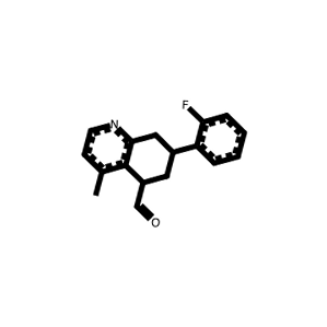 Cc1ccnc2c1C(C=O)CC(c1ccccc1F)C2